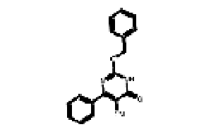 N#Cc1c(-c2ccccc2)nc(OCc2ccccc2)[nH]c1=O